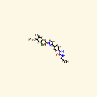 C#CCNC(=O)Nc1ccc(C2=NN(C(=O)Cc3cc(CC)c(OC)cc3Br)CC2)cc1